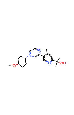 CO[C@H]1CC[C@H](N2C=C(c3cnc(C(C)(C)O)cc3C)N=CC2)CC1